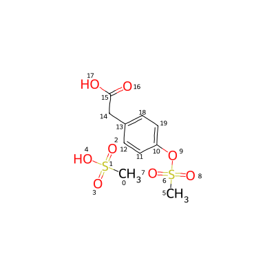 CS(=O)(=O)O.CS(=O)(=O)Oc1ccc(CC(=O)O)cc1